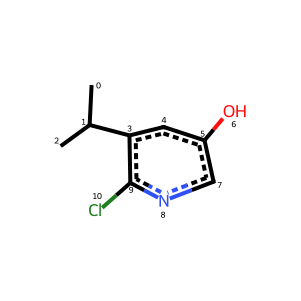 CC(C)c1cc(O)cnc1Cl